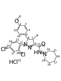 COc1ccc(C2C(C)C(C(=O)NN3CCCCCC3)=NN2c2ccc(Cl)cc2Cl)cc1.Cl